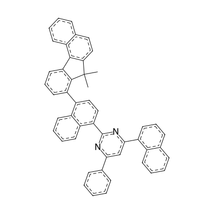 CC1(C)c2ccc3ccccc3c2-c2cccc(-c3ccc(-c4nc(-c5ccccc5)cc(-c5cccc6ccccc56)n4)c4ccccc34)c21